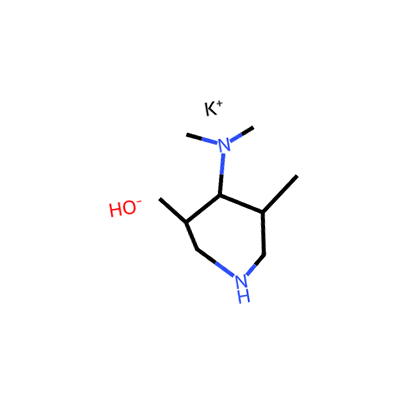 CC1CNCC(C)C1N(C)C.[K+].[OH-]